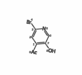 CC(=O)c1cc(Br)ncc1O